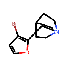 Brc1ccoc1C1=CN2CCC1CC2